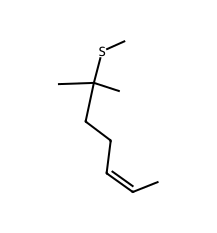 C/C=C\CCC(C)(C)SC